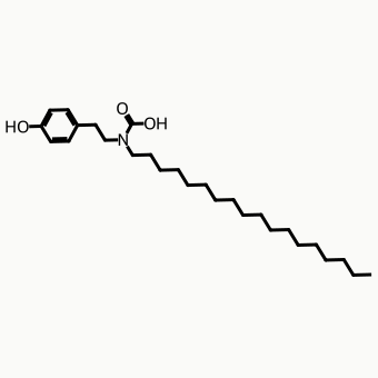 CCCCCCCCCCCCCCCCCCN(CCc1ccc(O)cc1)C(=O)O